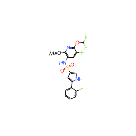 COc1nc(OC(F)F)c(F)cc1NS(=O)(=O)c1c[nH]c(-c2ccccc2F)c1